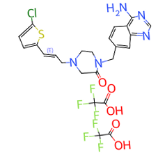 Nc1ncnc2cc(CN3CCN(C/C=C/c4ccc(Cl)s4)CC3=O)ccc12.O=C(O)C(F)(F)F.O=C(O)C(F)(F)F